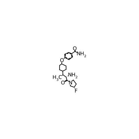 C[C@@H](C1CCC(Oc2ccc(C(N)=O)cc2)CC1)[C@H](N)C(=O)N1CC[C@H](F)C1